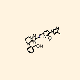 COc1nc(/C=C/c2nc3n(n2)CCC[C@@H]3c2ccccc2CO)ccc1-n1cnc(C)c1